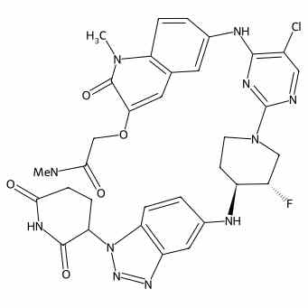 CNC(=O)COc1cc2cc(Nc3nc(N4CC[C@H](Nc5ccc6c(c5)nnn6C5CCC(=O)NC5=O)[C@@H](F)C4)ncc3Cl)ccc2n(C)c1=O